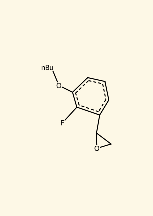 CCCCOc1cccc(C2CO2)c1F